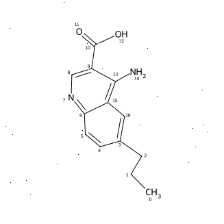 CCCc1ccc2ncc(C(=O)O)c(N)c2c1